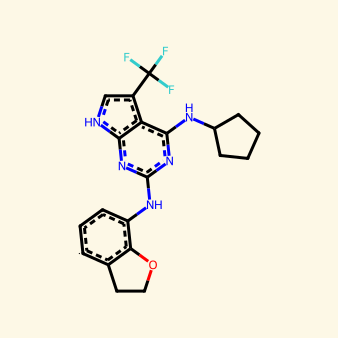 FC(F)(F)c1c[nH]c2nc(Nc3cc[c]c4c3OCC4)nc(NC3CCCC3)c12